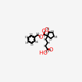 O=C(O)CCCC1(C(=O)OCc2ccccc2)CCCC1=O